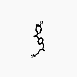 C=C(c1ccc(Cl)cc1)c1ccc(CC(C)CCC(C)(C)C)cc1